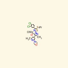 COC(=O)c1c(-c2cc(C)nc(N3CCOCC3)c2)c(C)nn1-c1nc(-c2ccc(Cl)c(Cl)c2)c(SC(C)C)s1